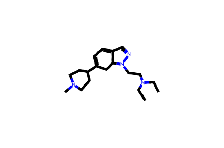 CCN(CC)CCN1N=CC2=CC=C(C3CCN(C)CC3)CC21